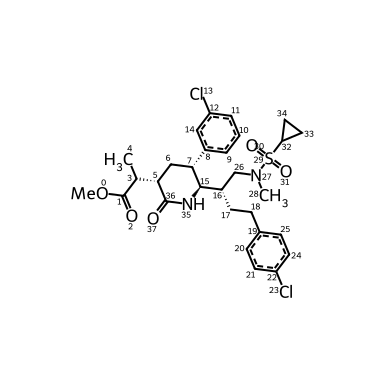 COC(=O)C(C)[C@@H]1C[C@H](c2cccc(Cl)c2)[C@@H]([C@@H](CCc2ccc(Cl)cc2)CN(C)S(=O)(=O)C2CC2)NC1=O